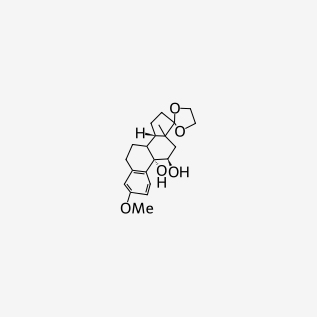 COc1ccc2c(c1)CCC1[C@@H]3CCC4(OCCO4)C3(C)C[C@@H](O)[C@@]21O